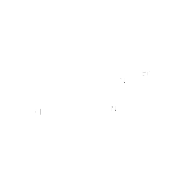 ClCc1cccc(-c2nccc(Br)n2)c1